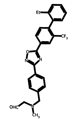 CCc1ccccc1-c1ccc(-c2nc(-c3ccc(CN(C)CC=O)cc3)no2)cc1C(F)(F)F